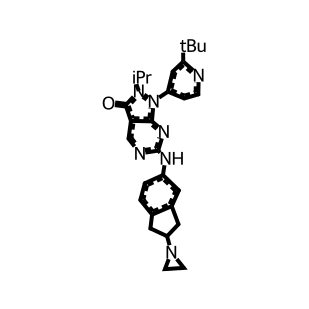 CC(C)n1c(=O)c2cnc(Nc3ccc4c(c3)CC(N3CC3)C4)nc2n1-c1ccnc(C(C)(C)C)c1